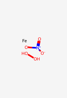 O=[N+]([O-])[O-].OO.[Fe]